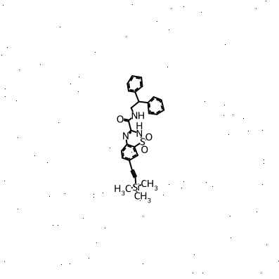 C[Si](C)(C)C#Cc1ccc2c(c1)S(=O)(=O)NC(C(=O)NCC(c1ccccc1)c1ccccc1)=N2